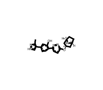 Cc1n[nH]cc1-c1ccc(-c2ccc(O[C@H]3C[C@H]4CC[C@@H](C3)N4)nn2)c(O)c1